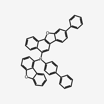 c1ccc(-c2ccc(N(c3cc4c5ccc(-c6ccccc6)cc5oc4c4ccccc34)c3cccc4oc5ccccc5c34)cc2)cc1